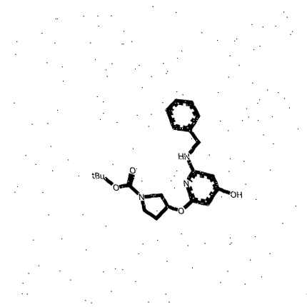 CC(C)(C)OC(=O)N1CCC(Oc2cc(O)cc(NCc3ccccc3)n2)C1